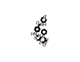 CN1CCC(NC(=O)c2ccc(Nc3ncc4c(n3)N(C3CCCCC3)CC(F)(F)C(=O)N4C)cc2)CC1